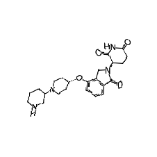 O=C1CCC(N2Cc3c(OC4CCN(C5CCCNC5)CC4)cccc3C2=O)C(=O)N1